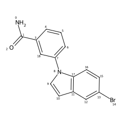 NC(=O)c1cccc(-n2ccc3cc(Br)ccc32)c1